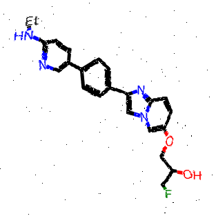 CCNc1ccc(-c2ccc(-c3cn4cc(OCC(O)CF)ccc4n3)cc2)cn1